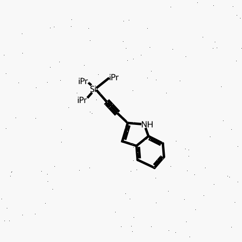 CC(C)[Si](C#Cc1cc2ccccc2[nH]1)(C(C)C)C(C)C